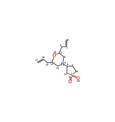 C=CCC1CN(C2CCS(=O)(=O)C2)CC(CC=C)O1